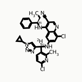 [2H][C@@](Nc1cc(Cl)c2ncc(C#N)c(N[C@H](CC)c3ccccc3)c2c1)(c1cn(C2CC2)nn1)c1ccc(Cl)nc1C